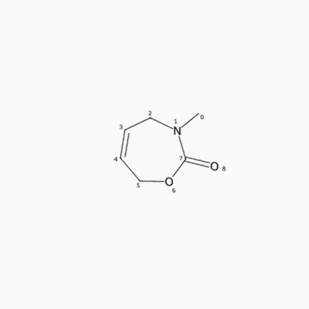 CN1CC=CCOC1=O